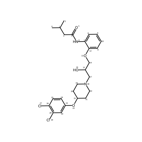 CC(C)CC(=O)Nc1ccccc1OCC(O)CN1CCC(Oc2ccc(Cl)c(Cl)c2)CC1